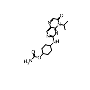 CC(C)n1c(=O)cnc2cnc(NC3CCC(OC(N)=O)CC3)nc21